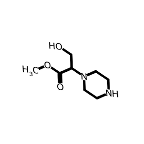 COC(=O)C(CO)N1CCNCC1